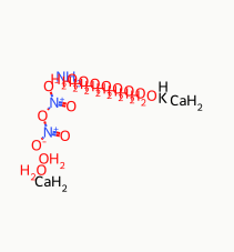 N.O.O.O.O.O.O.O.O.O.O.O=[N+]([O-])O[N+](=O)[O-].[CaH2].[CaH2].[KH]